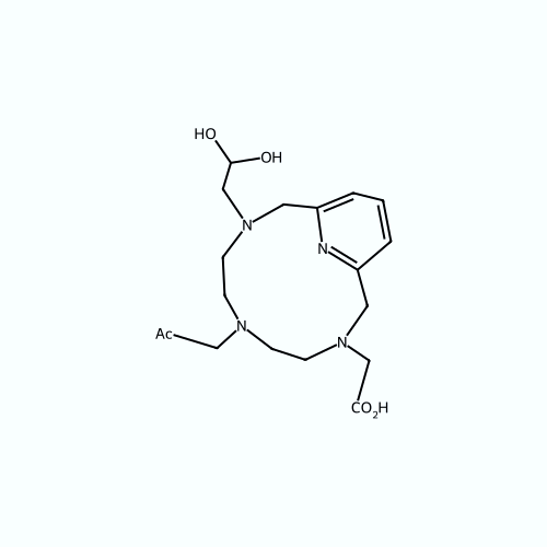 CC(=O)CN1CCN(CC(=O)O)Cc2cccc(n2)CN(CC(O)O)CC1